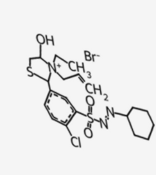 C=CC[N+]1(CC)C(O)CSC1c1ccc(Cl)c(S(=O)(=O)N=NC2CCCCC2)c1.[Br-]